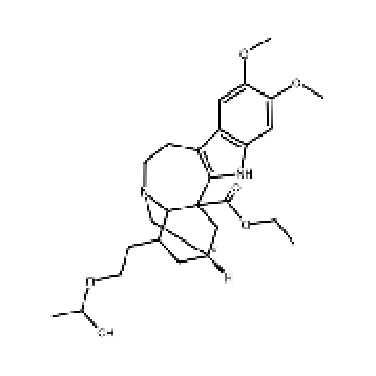 CCOC(=O)C12C[C@@H]3CC(CCOC(C)O)C1N(CCc1c2[nH]c2cc(OC)c(OC)cc12)C3